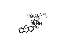 NC(=O)C[C@H](NS(=O)(=O)c1ccc2c(c1)Oc1ccccc1C2)C(=O)NO